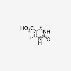 CC1=C(C(=O)O)CNC(=O)N1